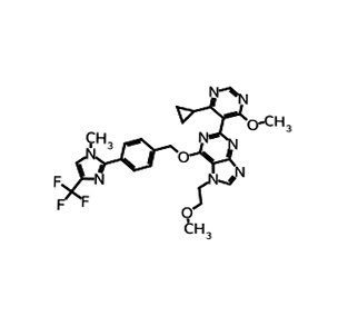 COCCn1cnc2nc(-c3c(OC)ncnc3C3CC3)nc(OCc3ccc(-c4nc(C(F)(F)F)cn4C)cc3)c21